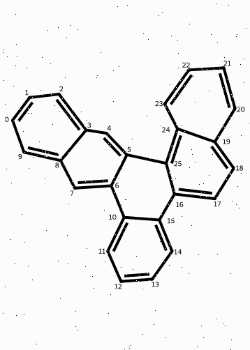 c1ccc2cc3c(cc2c1)c1ccccc1c1ccc2ccccc2c13